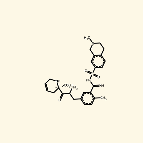 Cc1ccc(CC(N)C(=O)[C@@]2(C(=O)O)CC=CCN2)cc1C(=N)NS(=O)(=O)c1ccc2c(c1)CN(C)CC2